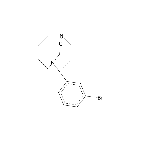 Brc1cccc(N2CCN3CCCC2CCC3)c1